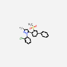 CS(=O)(=O)c1cc(-c2ccccc2)ccc1-c1cc(C(F)(F)F)nn1-c1ccccc1Cl